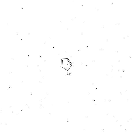 [CH]1C=CC=C1.[La]